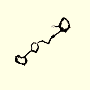 Nc1ccccc1C#CCCN1CCC(c2ccccc2)CC1